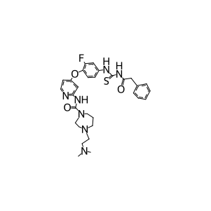 CN(C)CCN1CCCN(C(=O)Nc2cc(Oc3ccc(NC(=S)NC(=O)Cc4ccccc4)cc3F)ccn2)CC1